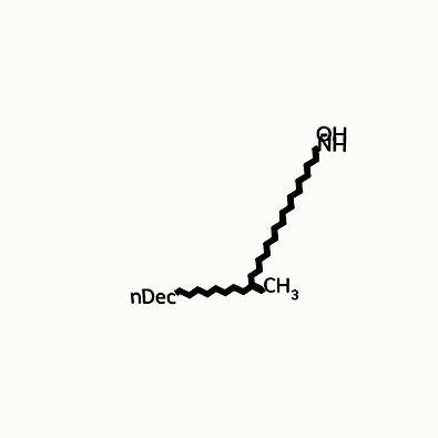 CC=C(CCCCCCCCCCCCCCCCCC)CCCCCCCCCCCCCCCCCNO